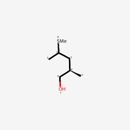 CSC(C)C[C@@H](C)CO